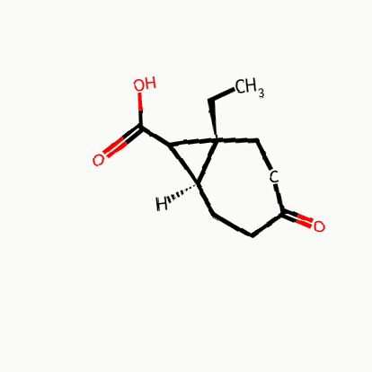 CC[C@@]12CCC(=O)CC[C@H]1C2C(=O)O